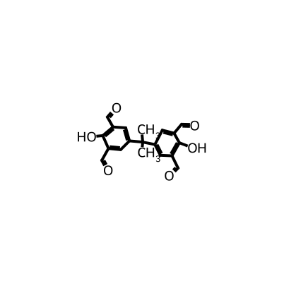 CC(C)(c1cc(C=O)c(O)c(C=O)c1)c1cc(C=O)c(O)c(C=O)c1